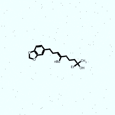 CCCC/C(=C\CCc1ccc2c(c1)OCO2)CCCC(C)(O)CC